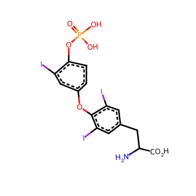 NC(Cc1cc(I)c(Oc2ccc(OP(=O)(O)O)c(I)c2)c(I)c1)C(=O)O